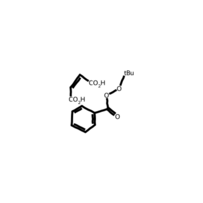 CC(C)(C)OOC(=O)c1ccccc1.O=C(O)/C=C\C(=O)O